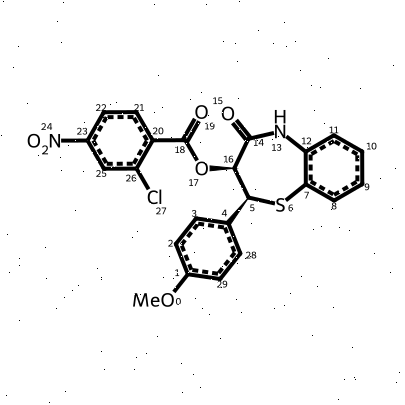 COc1ccc([C@@H]2Sc3ccccc3NC(=O)[C@@H]2OC(=O)c2ccc([N+](=O)[O-])cc2Cl)cc1